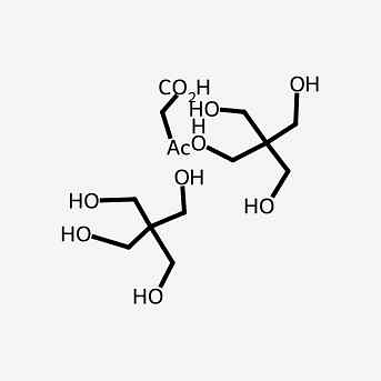 CC(=O)CC(=O)O.OCC(CO)(CO)CO.OCC(CO)(CO)CO